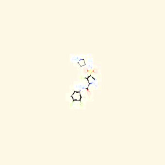 Cn1cc(S(=O)(=O)N[C@@H]2CCNC2)c(F)c1C(=O)Nc1ccc(F)c(F)c1